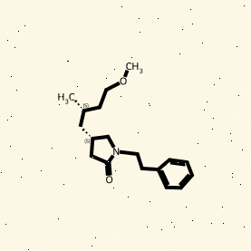 COCC[C@@H](C)C[C@H]1CC(=O)N(CCc2ccccc2)C1